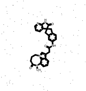 CN1C(=O)CCCn2cc(CC(=O)Nc3ccc4c(c3)CC3(C4)C(=O)Nc4ncccc43)c3cccc1c32